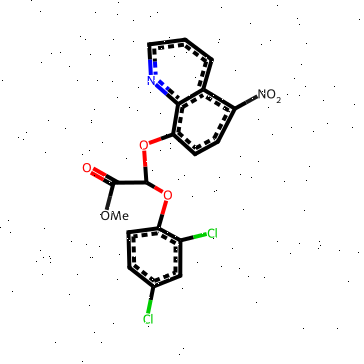 COC(=O)C(Oc1ccc(Cl)cc1Cl)Oc1ccc([N+](=O)[O-])c2cccnc12